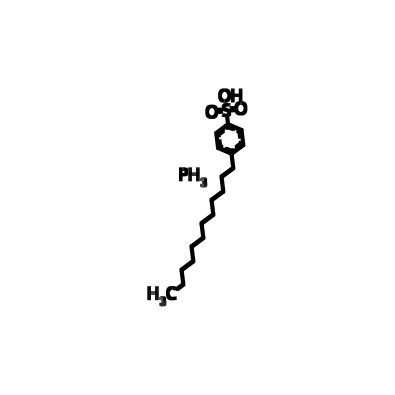 CCCCCCCCCCCCc1ccc(S(=O)(=O)O)cc1.P